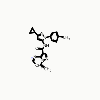 C=Cn1ncc(C(=O)Nc2cc(C3CC3)nn2-c2ccc(C)cc2)c1/N=C\C